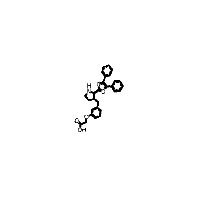 O=C(O)COc1cccc(CC2CCNC2c2nc(-c3ccccc3)c(-c3ccccc3)o2)c1